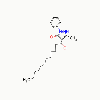 CCCCCCCCCCCC(=O)c1c(C)[nH]n(-c2ccccc2)c1=O